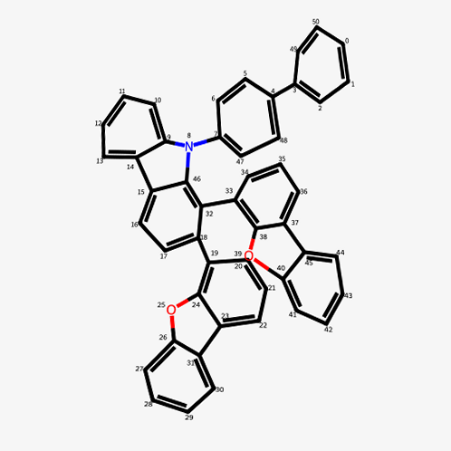 c1ccc(-c2ccc(-n3c4ccccc4c4ccc(-c5cccc6c5oc5ccccc56)c(-c5cccc6c5oc5ccccc56)c43)cc2)cc1